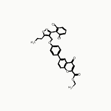 CCCc1onc(-c2c(Cl)cccc2Cl)c1COc1ccc(-c2ccc3oc(C(=O)OCC)cc(=O)c3c2)cc1